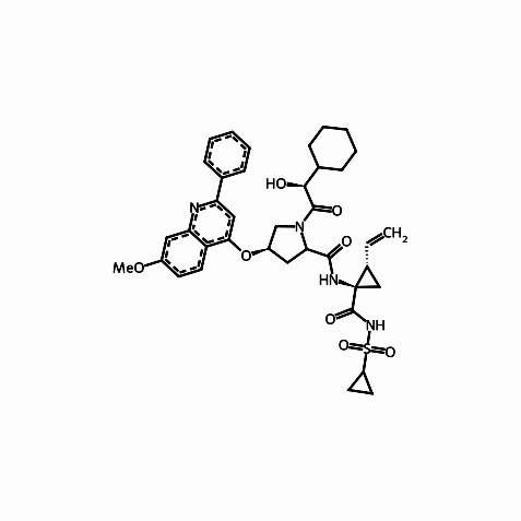 C=C[C@@H]1C[C@]1(NC(=O)C1C[C@@H](Oc2cc(-c3ccccc3)nc3cc(OC)ccc23)CN1C(=O)[C@@H](O)C1CCCCC1)C(=O)NS(=O)(=O)C1CC1